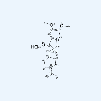 COc1cc2c(cc1OC)C(=O)C(F)(CC1CCN(C(C)C)CC1)C2.Cl